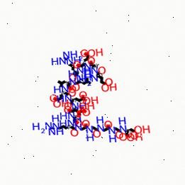 CC(C)C[C@H](NC(=O)[C@H](CCCNC(=N)N)NC(=O)[C@H](CCC(=O)O)NC(=O)[C@H](C)NC(=O)[C@@H](N)CCC(=O)O)C(=O)N[C@@H](CC(C)C)C(=O)N[C@@H](CCC(=O)O)C(=O)N[C@@H](CCC(=O)O)C(=O)N[C@H](C(=O)N[C@@H](CCC(=O)O)C(=O)N[C@@H](CCCNC(=N)N)C(=O)NCC(=O)NCC(=O)NCC(=O)NCC(=O)N[C@@H](CC(=O)O)C(=O)O)C(C)C